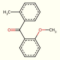 COc1ccccc1C(=O)c1ccccc1C